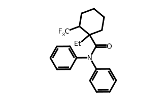 CCC1(C(=O)N(c2ccccc2)c2ccccc2)CCCCC1C(F)(F)F